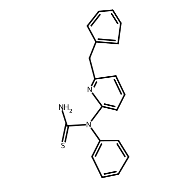 NC(=S)N(c1ccccc1)c1cccc(Cc2ccccc2)n1